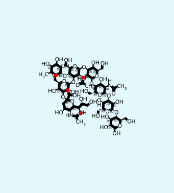 CC(=O)N[C@H]1[C@H](O[C@H]2[C@@H](O)[C@@H](CO)O[C@@H](O[C@H]3[C@H](O)[C@@H](O)[C@H](O)O[C@@H]3CO)[C@@H]2O)O[C@H](CO)[C@@H](O[C@@H]2O[C@H](CO)[C@H](O)[C@H](O[C@@H]3O[C@H](CO)[C@@H](O[C@@H]4O[C@@H](C)[C@@H](O)[C@@H](O)[C@@H]4O)[C@H](O[C@@H]4O[C@H](CO)[C@H](O)[C@H](O[C@]5(C(=O)O)C[C@H](O)[C@@H](NC(C)=O)[C@H]([C@H](O)[C@H](O)CO)O5)[C@H]4O)[C@H]3NC(C)=O)[C@H]2O)[C@@H]1O